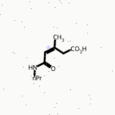 CCCNC(=O)/C=C(/C)CC(=O)O